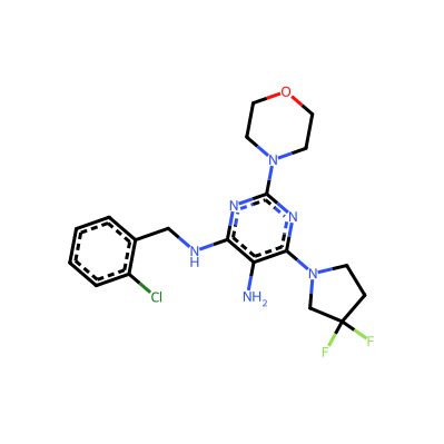 Nc1c(NCc2ccccc2Cl)nc(N2CCOCC2)nc1N1CCC(F)(F)C1